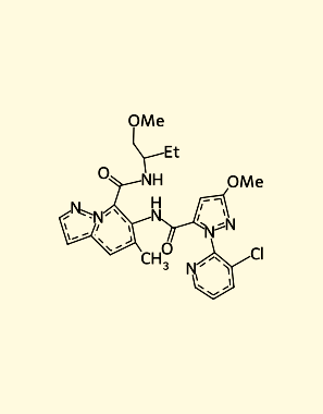 CCC(COC)NC(=O)c1c(NC(=O)c2cc(OC)nn2-c2ncccc2Cl)c(C)cc2ccnn12